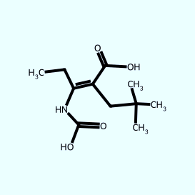 CCC(NC(=O)O)=C(CC(C)(C)C)C(=O)O